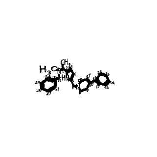 CC(c1ccc(CN2CCC(c3ccccc3)CC2)[nH]1)N(C)Cc1ccccc1